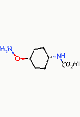 NO[C@H]1CC[C@H](NC(=O)O)CC1